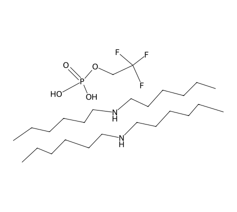 CCCCCCNCCCCCC.CCCCCCNCCCCCC.O=P(O)(O)OCC(F)(F)F